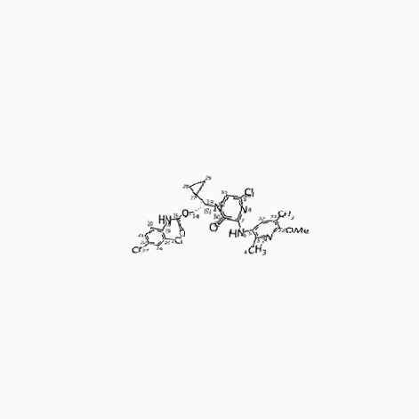 COc1nc(C)c(Nc2nc(Cl)cn([C@H](COC(=O)Nc3ccc(Cl)cc3Cl)C3CC3)c2=O)cc1C